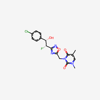 Cc1cn(C)c(=O)n(Cc2nc([C@H](F)[C@@H](O)c3ccc(Cl)cc3)no2)c1=O